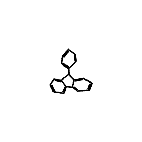 [c]1cccc(C2c3ccccc3-c3ccccc32)c1